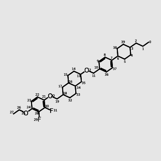 CCCC1CCC(c2ccc(COC3CCC4CC(COc5ccc(OCC)c(F)c5F)CCC4C3)cc2)CC1